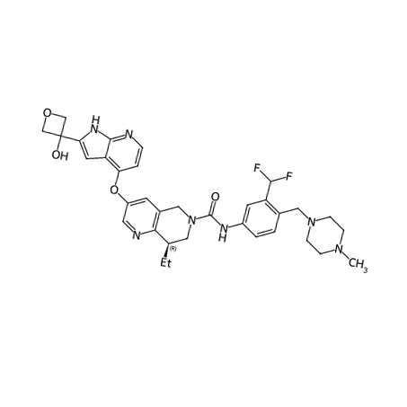 CC[C@@H]1CN(C(=O)Nc2ccc(CN3CCN(C)CC3)c(C(F)F)c2)Cc2cc(Oc3ccnc4[nH]c(C5(O)COC5)cc34)cnc21